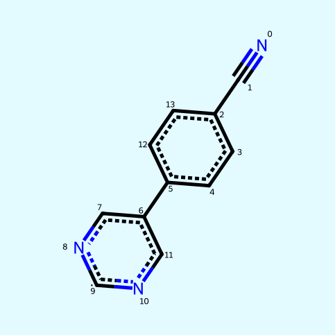 N#Cc1ccc(-c2cn[c]nc2)cc1